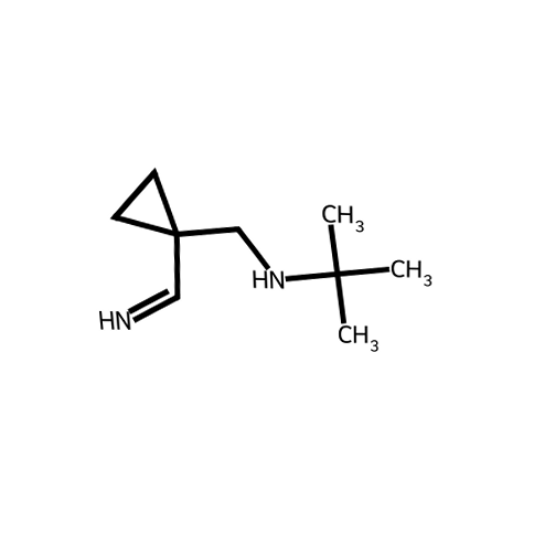 CC(C)(C)NCC1(C=N)CC1